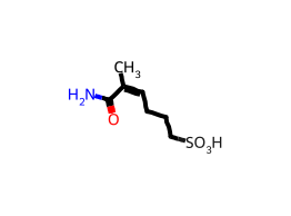 CC(=CCCCS(=O)(=O)O)C(N)=O